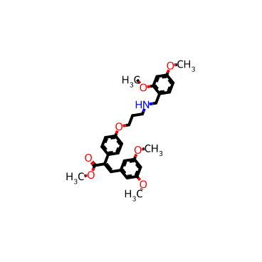 COC(=O)/C(=C/c1cc(OC)cc(OC)c1)c1ccc(OCCCNCc2ccc(OC)cc2OC)cc1